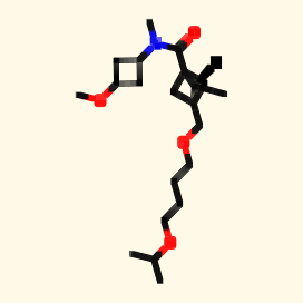 COC1CC(N(C)C(=O)C23CC(COCCCCOC(C)C)(C2)[C@H]3C)C1